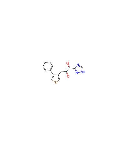 O=C(Cc1cscc1-c1ccccc1)C(=O)c1nc[nH]n1